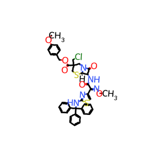 CON=C(C(=O)NC1C(=O)N2CC(CCl)(C(=O)OCc3ccc(OC)cc3)CS[C@H]12)c1csc(NC(c2ccccc2)(c2ccccc2)c2ccccc2)n1